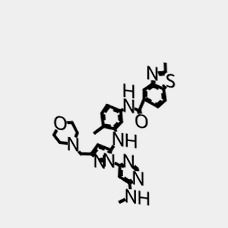 CNc1cc(-n2nc(CN3CCOCC3)cc2Nc2cc(NC(=O)c3ccc4sc(C)nc4c3)ccc2C)ncn1